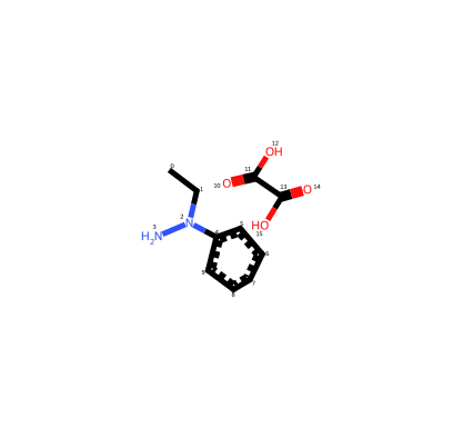 CCN(N)c1ccccc1.O=C(O)C(=O)O